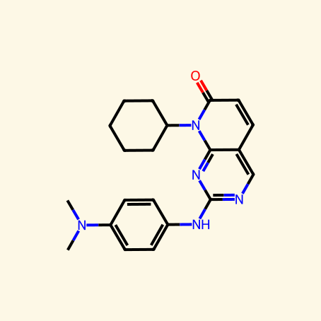 CN(C)c1ccc(Nc2ncc3ccc(=O)n(C4CCCCC4)c3n2)cc1